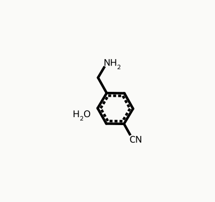 N#Cc1ccc(CN)cc1.O